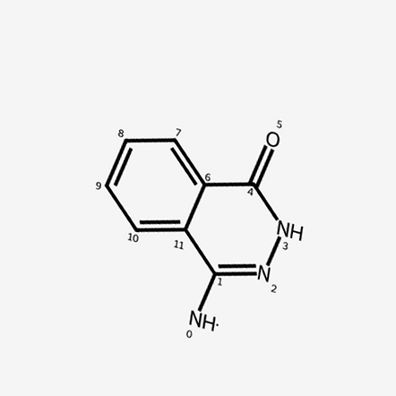 [NH]c1n[nH]c(=O)c2ccccc12